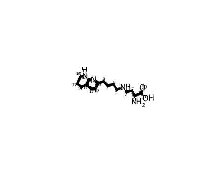 N[C@@H](CCNCCCCc1ccc2c(n1)NCCC2)C(=O)O